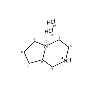 C1CC2CNCCN2C1.Cl.Cl